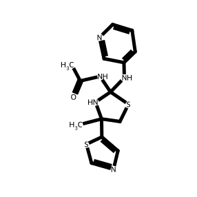 CC(=O)NC1(Nc2cccnc2)NC(C)(c2cncs2)CS1